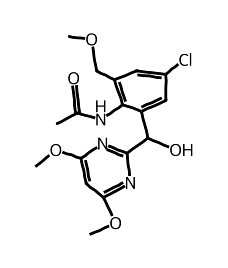 COCc1cc(Cl)cc(C(O)c2nc(OC)cc(OC)n2)c1NC(C)=O